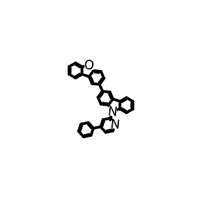 c1ccc(-c2ccnc(-n3c4ccccc4c4cc(-c5ccc6oc7ccccc7c6c5)ccc43)c2)cc1